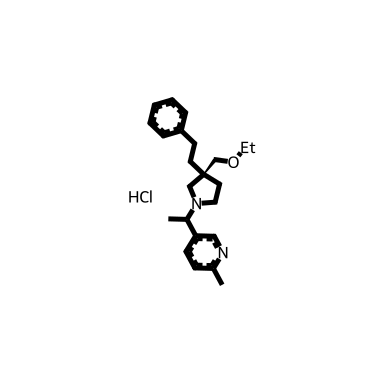 CCOC[C@@]1(CCc2ccccc2)CCN(C(C)c2ccc(C)nc2)C1.Cl